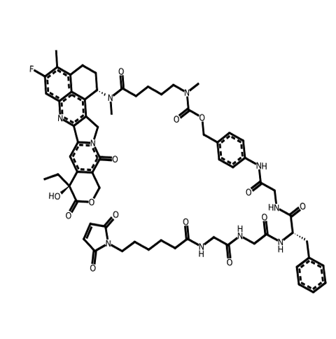 CC[C@@]1(O)C(=O)OCc2c1cc1n(c2=O)Cc2c-1nc1cc(F)c(C)c3c1c2[C@@H](N(C)C(=O)CCCCN(C)C(=O)OCc1ccc(NC(=O)CNC(=O)[C@H](Cc2ccccc2)NC(=O)CNC(=O)CNC(=O)CCCCCN2C(=O)C=CC2=O)cc1)CC3